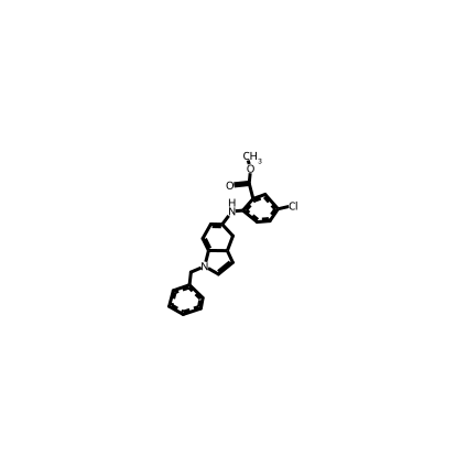 COC(=O)c1cc(Cl)ccc1NC1=CC=C2C(C=CN2Cc2ccccc2)C1